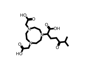 CC(C)C(=O)CCC(C(=O)O)N1CCN(CC(=O)O)CCN(CC(=O)O)CC1